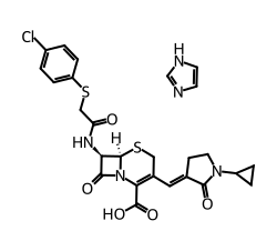 O=C(CSc1ccc(Cl)cc1)N[C@@H]1C(=O)N2C(C(=O)O)=C(C=C3CCN(C4CC4)C3=O)CS[C@H]12.c1c[nH]cn1